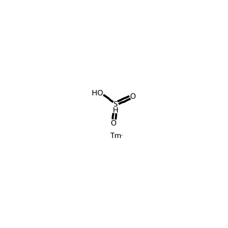 O=[SH](=O)O.[Tm]